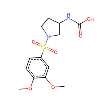 COc1ccc(S(=O)(=O)N2CCC(NC(=O)O)C2)cc1OC